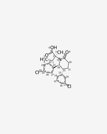 CC[C@@](C)(C(=O)O)N1C(=O)CC[C@H](c2cccc(Cl)c2)[C@H]1c1ccc(Cl)cc1